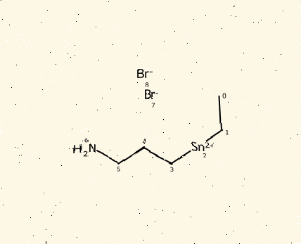 C[CH2][Sn+2][CH2]CCN.[Br-].[Br-]